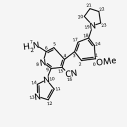 COc1cc(-c2cc(N)nc(-n3ccnc3)c2C#N)cc(N2CCCC2)c1